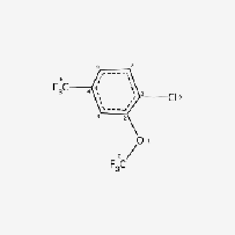 FC(F)(F)Oc1cc(C(F)(F)F)ccc1Cl